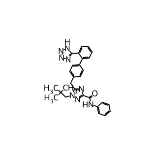 CC(C)(C)Cn1nc(C(=O)Nc2ccccc2)nc1Cc1ccc(-c2ccccc2-c2nnn[nH]2)cc1